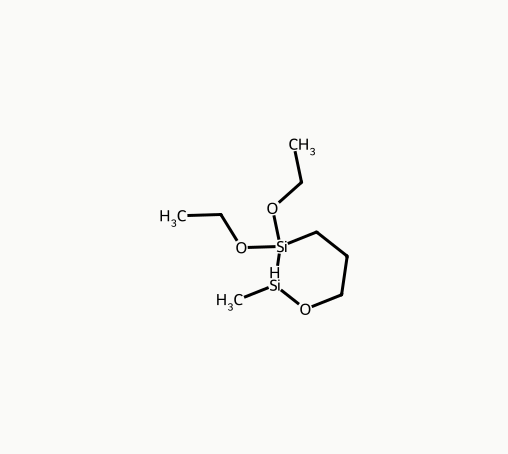 CCO[Si]1(OCC)CCCO[SiH]1C